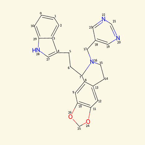 c1ccc2c(CCC3c4cc5c(cc4CCN3Cc3cncnc3)OCO5)c[nH]c2c1